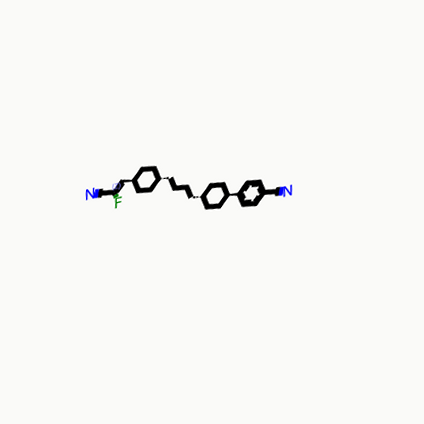 N#C/C(F)=C/[C@H]1CC[C@H](CCCC[C@H]2CC[C@H](c3ccc(C#N)cc3)CC2)CC1